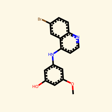 COc1cc(O)cc(Nc2ccnc3ccc(Br)cc23)c1